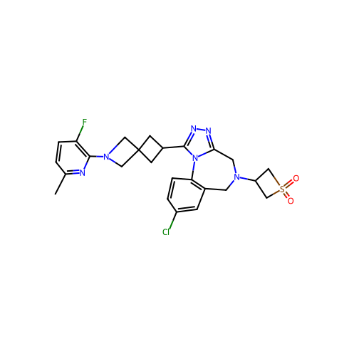 Cc1ccc(F)c(N2CC3(CC(c4nnc5n4-c4ccc(Cl)cc4CN(C4CS(=O)(=O)C4)C5)C3)C2)n1